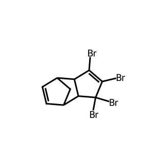 BrC1=C(Br)C(Br)(Br)C2C3C=CC(C3)C12